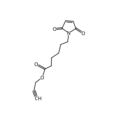 C#CCOC(=O)CCCCCN1C(=O)C=CC1=O